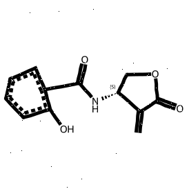 C=C1C(=O)OC[C@H]1NC(=O)c1ccccc1O